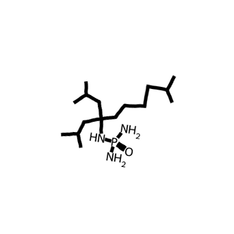 CC(C)CCCCC(CC(C)C)(CC(C)C)NP(N)(N)=O